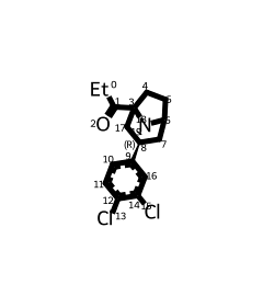 CCC(=O)C12CCC(C[C@@H](c3ccc(Cl)c(Cl)c3)C1)N2C